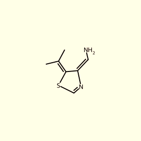 CC(C)=c1scn/c1=C/N